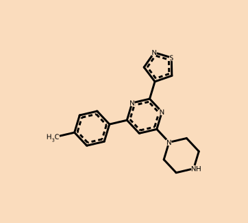 Cc1ccc(-c2cc(N3CCNCC3)nc(-c3cnsc3)n2)cc1